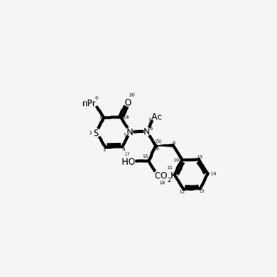 CCCC1SC=CN(N(C(C)=O)[C@@H](Cc2ccccc2)C(O)C(=O)O)C1=O